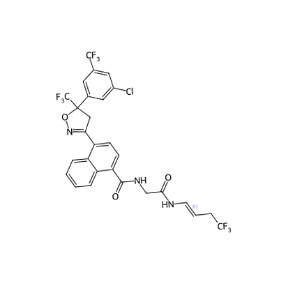 O=C(CNC(=O)c1ccc(C2=NOC(c3cc(Cl)cc(C(F)(F)F)c3)(C(F)(F)F)C2)c2ccccc12)N/C=C/CC(F)(F)F